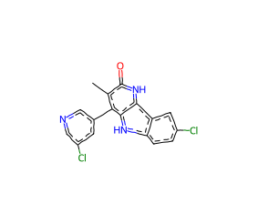 Cc1c(-c2cncc(Cl)c2)c2[nH]c3ccc(Cl)cc3c2[nH]c1=O